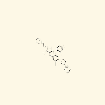 O=C(NCCN1CCCC1)c1cn2c3c(c(N4CCC(c5cnccn5)C4)c(F)cc3c1=O)Oc1cc(Cl)ccc1-2